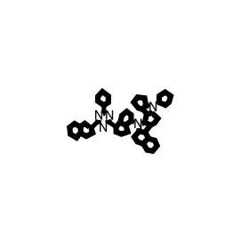 c1ccc(-c2nc(-c3ccc4ccccc4c3)nc(-c3cccc4c(-n5c6ccc7ccccc7c6c6ccc7c(c8ccccc8n7-c7ccccc7)c65)cccc34)n2)cc1